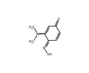 CN(C)C1=CC(=O)C=CC1=NO